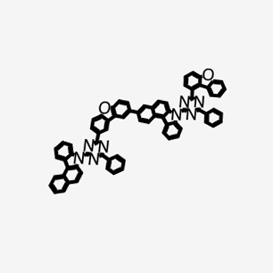 c1ccc(-c2nc(-c3ccc4oc5ccc(-c6ccc7c(ccc8c7c7ccccc7n8-c7nc(-c8ccccc8)nc(-c8cccc9oc%10ccccc%10c89)n7)c6)cc5c4c3)nc(-n3c4ccccc4c4c5ccccc5ccc43)n2)cc1